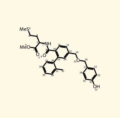 COC(=O)C(CCSC)NC(=O)c1ccc(COCc2ccc(O)cc2)cc1-c1ccccc1C